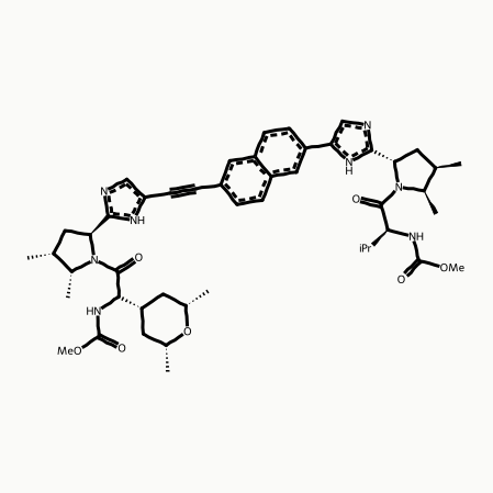 COC(=O)NC(C(=O)N1[C@H](C)[C@H](C)C[C@H]1c1ncc(C#Cc2ccc3cc(-c4cnc([C@@H]5C[C@@H](C)[C@@H](C)N5C(=O)[C@@H](NC(=O)OC)C(C)C)[nH]4)ccc3c2)[nH]1)[C@H]1C[C@@H](C)O[C@@H](C)C1